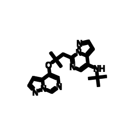 CC(C)(C)Nc1cnc(CC(C)(C)Oc2cncn3nccc23)n2nccc12